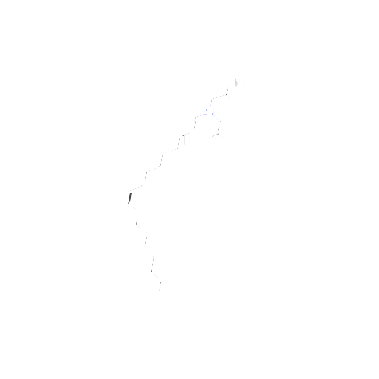 CCCCCCCC/C=C\CCCCCCCCN(CC(C)O)CC(C)O